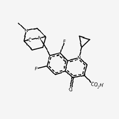 CN1CC2CCC1CN2c1c(F)cc2c(=O)c(C(=O)O)cn(C3CC3)c2c1F